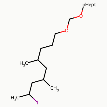 CCCCCCCOCOCCCC(C)CC(C)CC(C)I